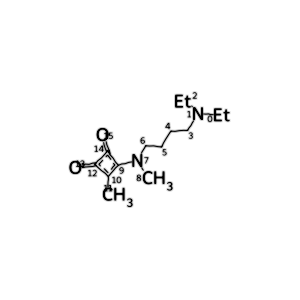 CCN(CC)CCCCN(C)c1c(C)c(=O)c1=O